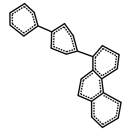 c1ccc(-c2ccc(-c3cccc4c3ccc3ccccc34)cc2)cc1